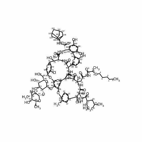 CCCCCOC(C)C(=O)NC(=O)C[C@@H]1NC(=O)[C@H](NC(=O)[C@@H](CC(C)C)NC)[C@H](O)c2ccc(c(C)c2)Oc2cc3cc(c2O[C@@H]2O[C@H](CO)[C@@H](O)[C@H](O)[C@H]2O[C@H]2C[C@](C)(N)[C@H](O)[C@H](C)O2)Oc2ccc(cc2Cl)[C@@H](O)[C@@H]2NC(=O)[C@H](NC(=O)[C@@H]3NC1=O)c1ccc(O)c(c1)-c1c(O)cc(O)cc1[C@@H](C(=O)NC1C3CC4CC(C3)CC1C4)NC2=O